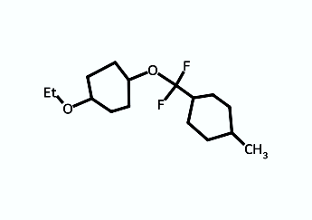 CCOC1CCC(OC(F)(F)C2CCC(C)CC2)CC1